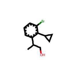 C[C](CO)c1cccc(Br)c1C1CC1